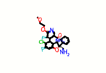 COCCO[C@H]1N=CC(C(N)=O)=C(c2c(Cl)c(F)cc3c2[C@H](C)[C@@](CN)(c2ccccc2)O3)C1F